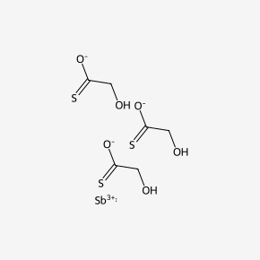 [O-]C(=S)CO.[O-]C(=S)CO.[O-]C(=S)CO.[Sb+3]